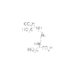 CN(CCNC(C(=O)O)C(=O)O)CCNC(C(=O)O)C(=O)O